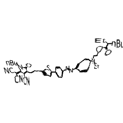 CCCCC(CC)C(=O)OCCN(CC)c1ccc(/N=N/c2ccc(-c3ccc(/C=C/C4=C(C#N)C(=C(C#N)C#N)N(CCCC)C4=O)s3)cc2)cc1